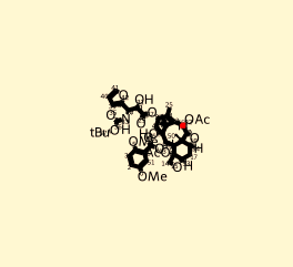 COc1ccc(OC)c(C(=O)O[C@H]2[C@@H]3[C@]4(OC(C)=O)CO[C@@H]4C[C@H]4O[C@@H]([C@H](OC(C)=O)C5=C(C)[C@@H](OC(=O)[C@H](O)[C@@H](NC(=O)OC(C)(C)C)c6ccco6)C[C@]2(O)C5(C)C)[C@@]34C)c1